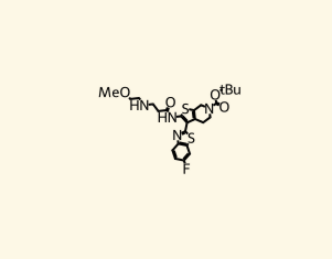 COCCNCCC(=O)Nc1sc2c(c1-c1nc3ccc(F)cc3s1)CCN(C(=O)OC(C)(C)C)C2